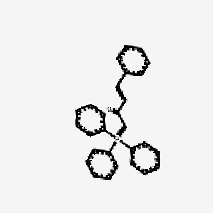 O=C(C=Cc1ccccc1)C=P(c1ccccc1)(c1ccccc1)c1ccccc1